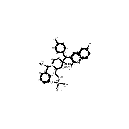 COc1nc2ccc(Cl)cc2cc1C(c1ccc(Cl)cc1)C1(O)CCN(C(C)c2ccccc2)C(CO[Si](C)(C)C(C)(C)C)C1